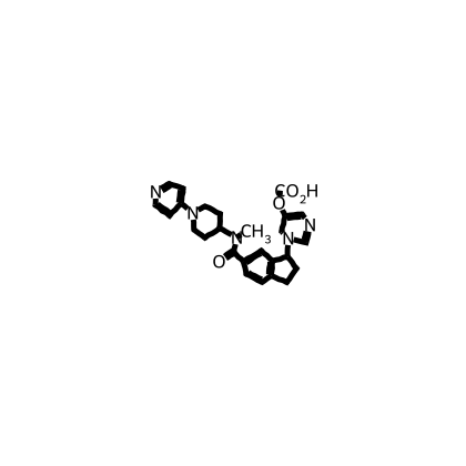 CN(C(=O)c1ccc2c(c1)C(N1C=NC=C(OC(=O)O)C1)CC2)C1CCN(c2ccncc2)CC1